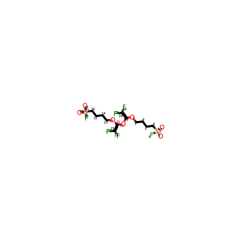 O=S(=O)(F)CCCCOC(OC(OCCCCS(=O)(=O)F)=C(F)F)=C(F)F